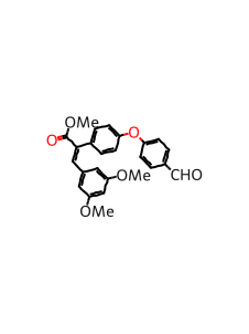 COC(=O)C(=Cc1cc(OC)cc(OC)c1)c1ccc(Oc2ccc(C=O)cc2)cc1